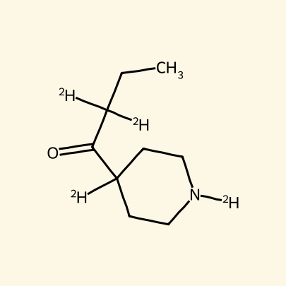 [2H]N1CCC([2H])(C(=O)C([2H])([2H])CC)CC1